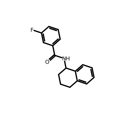 O=C(NC1CCCc2ccccc21)c1cccc(F)c1